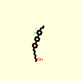 C=CCc1ccc(-c2ccc(-c3ccc(/C=C/CCCC(C)O)cc3)cc2)c(F)c1F